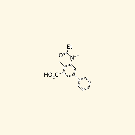 CCC(=O)N(C)c1cc(-c2ccccc2)cc(C(=O)O)c1C